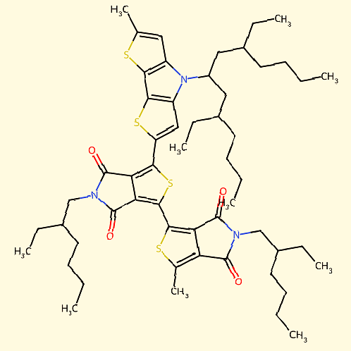 CCCCC(CC)CC(CC(CC)CCCC)n1c2cc(C)sc2c2sc(-c3sc(-c4sc(C)c5c4C(=O)N(CC(CC)CCCC)C5=O)c4c3C(=O)N(CC(CC)CCCC)C4=O)cc21